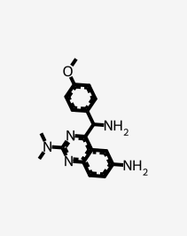 COc1ccc(C(N)c2nc(N(C)C)nc3ccc(N)cc23)cc1